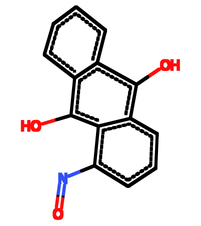 O=Nc1cccc2c(O)c3ccccc3c(O)c12